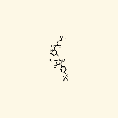 CCOC(=O)Nc1cc(CN2C(=O)N(c3ccc(SC(F)(F)F)cc3)C(=O)C2C)ccn1